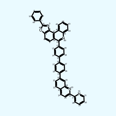 c1ccc(-c2nc3c(ccc4c(-c5ccc(-c6ccc(-c7ccc8ccc(-c9ccccn9)nc8c7)cc6)cc5)nc5ccccc5c43)o2)cc1